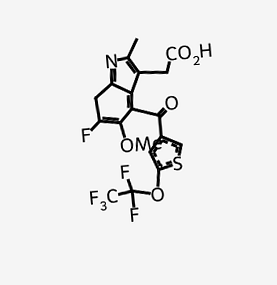 COC1=C(F)CC2=NC(C)=C(CC(=O)O)C2=C1C(=O)c1csc(OC(F)(F)C(F)(F)F)c1